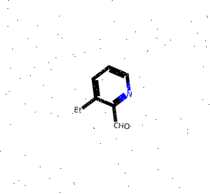 CCc1cccnc1[C]=O